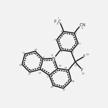 N#Cc1cc2c(cc1C(F)(F)F)-n1c3ccccc3c3cccc(c31)C2(F)F